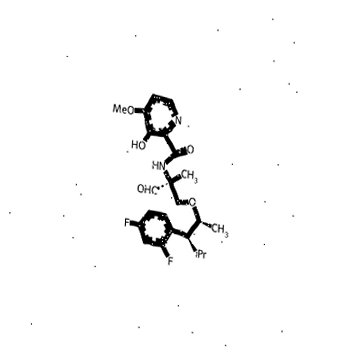 COc1ccnc(C(=O)N[C@](C)(C=O)CO[C@@H](C)[C@H](c2ccc(F)cc2F)C(C)C)c1O